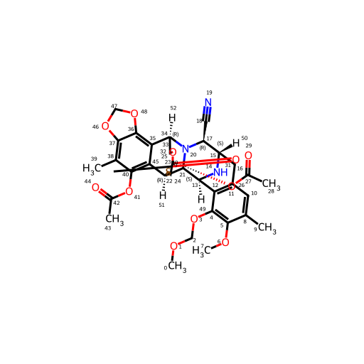 COCOc1c(OC)c(C)cc2c1[C@@H]1N[C@@H](C2)[C@H](C#N)N2C1[C@@H]1SC[C@H](OC(C)=O)C(=O)OC[C@H]2c2c3c(c(C)c(OC(C)=O)c21)OCO3